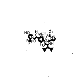 COc1cc(NC(=O)[C@@H](NC(=O)c2ccnn2C(C)C)C(C2CC2)C2CC2)c(F)cc1C(C)C(=O)N1CC(O)CC1C(F)(F)F